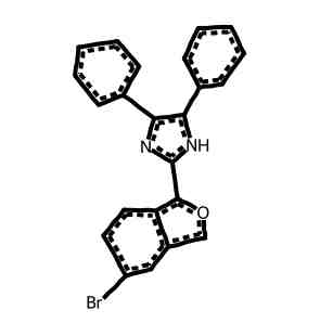 Brc1ccc2c(-c3nc(-c4ccccc4)c(-c4ccccc4)[nH]3)occ2c1